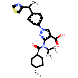 CC(c1ccc(-n2cc(C(=O)O)c(N(C(=O)[C@H]3CC[C@H](C)CC3)C(C)C)n2)cc1)c1cscn1